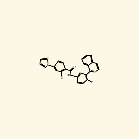 O=C(Nc1ccc(Cl)c(-c2nccc3ccccc23)c1)c1ccc(-n2cccn2)cc1Cl